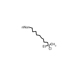 CCCCCCCCCCCCCCCCCC[N+](C)(Cl)CC